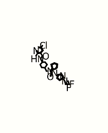 Cc1ncc(Cl)cc1C(=O)NC1CCC(Cn2c(=O)n(-c3ccc(N4CC(F)(F)C4)nc3)c3ccccc32)CC1